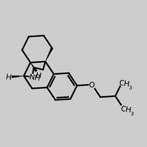 CC(C)COc1ccc2c(c1)[C@@]13CCCC[C@H]1[C@@H](C2)NCC3